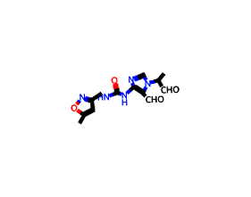 Cc1cc(CNC(=O)Nc2ncn(C(C)C=O)c2C=O)no1